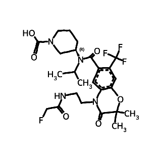 CC(C)N(C(=O)c1cc2c(cc1C(F)(F)F)OC(C)(C)C(=O)N2CCNC(=O)CF)[C@@H]1CCCN(C(=O)O)C1